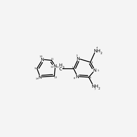 Cc1nc(N)nc(N)n1.c1ncncn1